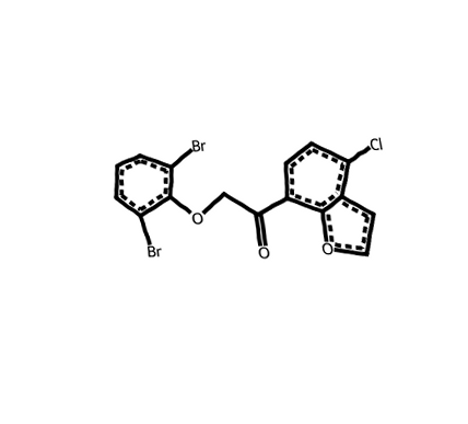 O=C(COc1c(Br)cccc1Br)c1ccc(Cl)c2ccoc12